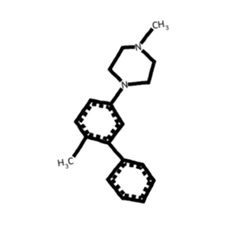 Cc1ccc(N2CCN(C)CC2)cc1-c1ccccc1